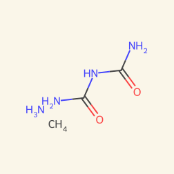 C.N.NC(=O)NC(N)=O